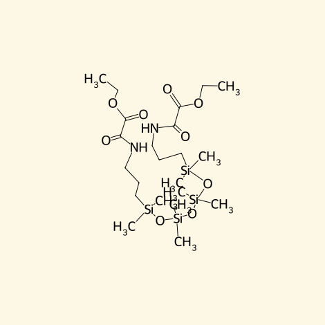 CCOC(=O)C(=O)NCCC[Si](C)(C)O[Si](C)(C)O[Si](C)(C)O[Si](C)(C)CCCNC(=O)C(=O)OCC